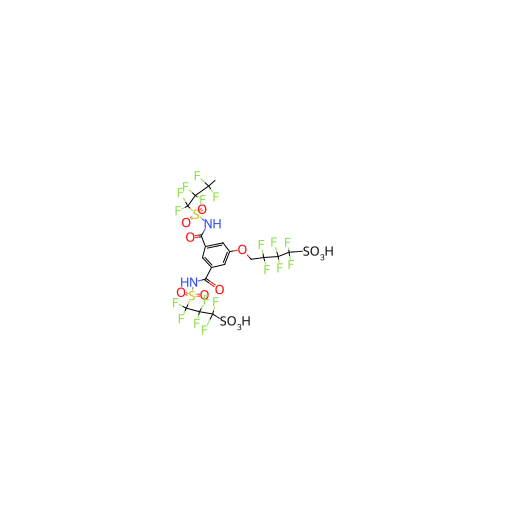 CC(F)(F)C(F)(F)C(F)(F)S(=O)(=O)NC(=O)c1cc(OCC(F)(F)C(F)(F)C(F)(F)S(=O)(=O)O)cc(C(=O)NS(=O)(=O)C(F)(F)C(F)(F)C(F)(F)S(=O)(=O)O)c1